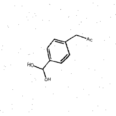 CC(=O)Cc1ccc(C(O)O)cc1